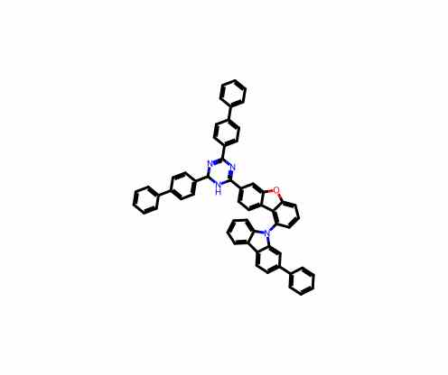 c1ccc(-c2ccc(C3=NC(c4ccc(-c5ccccc5)cc4)NC(c4ccc5c(c4)oc4cccc(-n6c7ccccc7c7ccc(-c8ccccc8)cc76)c45)=N3)cc2)cc1